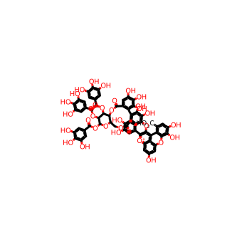 O=C(OC1OC2COC(=O)c3cc(Oc4c(-c5ccc(O)c(O)c5)[o+]c5cc(O)cc6c5c4-c4c(C(=O)O)cc(O)c(O)c4O6)c(O)c(O)c3-c3c(cc(O)c(O)c3O)C(=O)OC2C(OC(=O)c2cc(O)c(O)c(O)c2)C1OC(=O)c1cc(O)c(O)c(O)c1)c1cc(O)c(O)c(O)c1